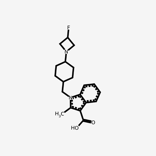 Cc1c(C(=O)O)c2ccccc2n1CC1CCC(N2CC(F)C2)CC1